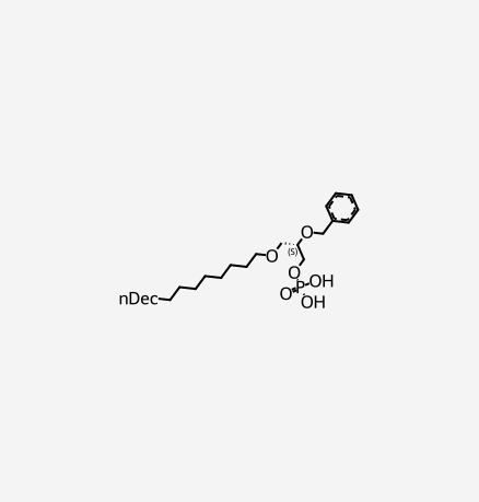 CCCCCCCCCCCCCCCCCCOC[C@@H](COP(=O)(O)O)OCc1ccccc1